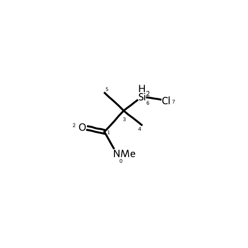 CNC(=O)C(C)(C)[SiH2]Cl